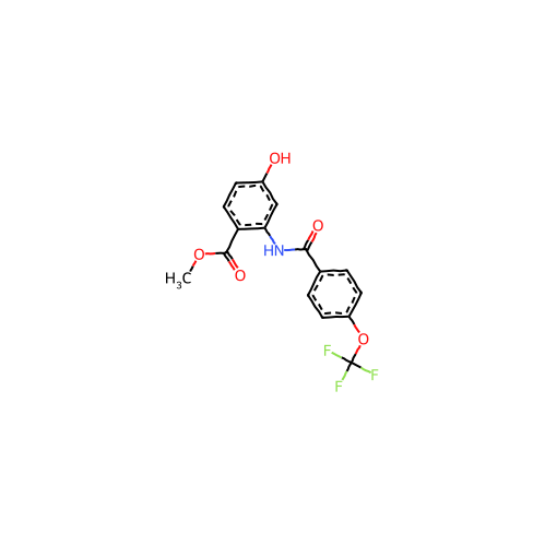 COC(=O)c1ccc(O)cc1NC(=O)c1ccc(OC(F)(F)F)cc1